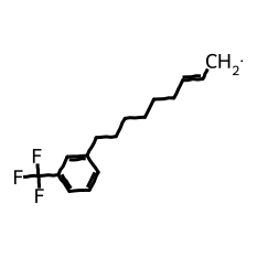 [CH2]/C=C/CCCCCCc1cccc(C(F)(F)F)c1